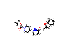 CC(C)(C)OC(=O)N1CCC(c2cccc(OCc3cc4ccccc4o3)n2)CC1